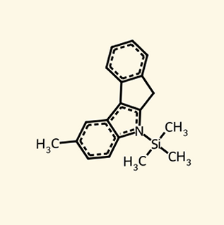 Cc1ccc2c(c1)c1c(n2[Si](C)(C)C)Cc2ccccc2-1